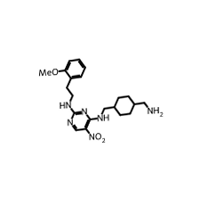 COc1ccccc1CCNc1ncc([N+](=O)[O-])c(NCC2CCC(CN)CC2)n1